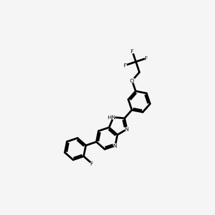 Fc1ccccc1-c1cnc2nc(-c3cccc(OCC(F)(F)F)c3)[nH]c2c1